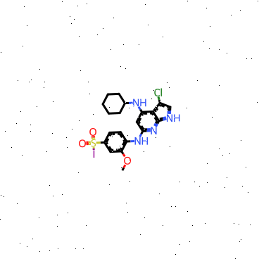 COc1cc(S(=O)(=O)I)ccc1Nc1cc(NC2CCCCC2)c2c(Cl)c[nH]c2n1